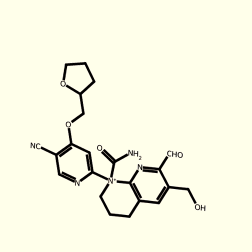 N#Cc1cnc([N+]2(C(N)=O)CCCc3cc(CO)c(C=O)nc32)cc1OCC1CCCO1